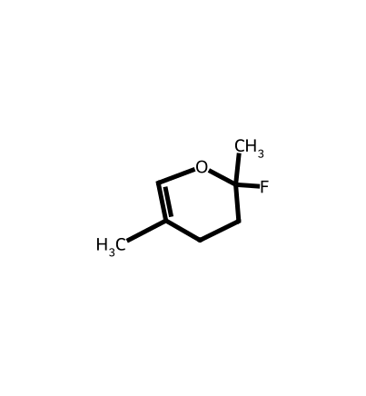 CC1=COC(C)(F)CC1